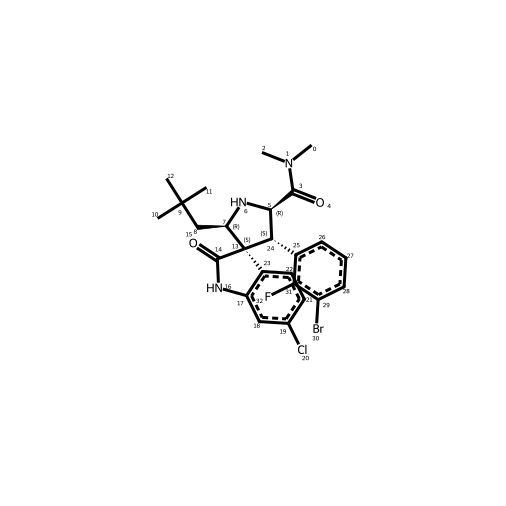 CN(C)C(=O)[C@@H]1N[C@H](CC(C)(C)C)[C@]2(C(=O)Nc3cc(Cl)ccc32)[C@H]1c1cccc(Br)c1F